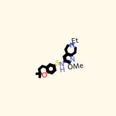 CCN1CCc2cc(NSc3ccc4c(c3)CCC(C)(C)O4)c(OC)nc2CC1